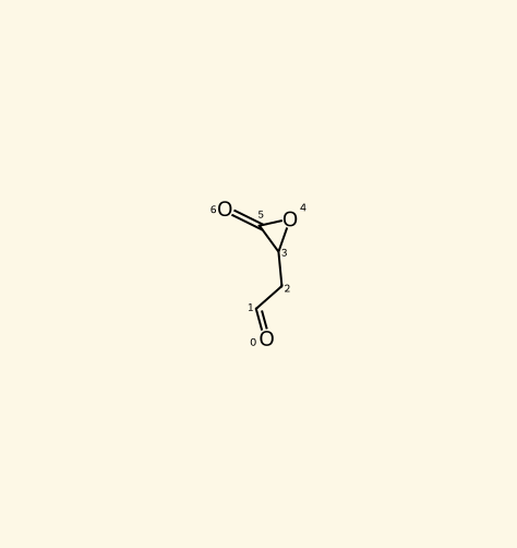 O=CCC1OC1=O